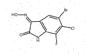 O=C1Nc2c(cc(Br)c(Cl)c2F)C1=NO